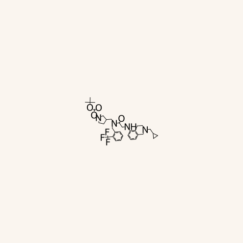 CC(C)(C)OC(=O)ON1CCC(CN(Cc2ccccc2C(F)(F)F)C(=O)CNc2cccc3c2CCN(CC2CC2)C3)C1